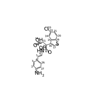 Nc1ccc(/C=C/NC(=O)C(CP(=O)(O)O)c2csc3ccc(Cl)cc23)cc1